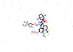 CCN1CC(NC(=O)C2C[C@H]3CC[C@@H](C2)N3C(=O)c2cc(-c3cc(OC)ncc3F)n(COCC[Si](C)(C)C)n2)CCC1C(F)(F)F